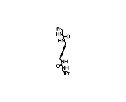 CC(C)CNC(=O)NCC#CC#CCNC(=O)NCC(C)C